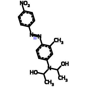 Cc1cc(N(C(C)O)C(C)O)ccc1/N=N/c1ccc([N+](=O)[O-])cc1